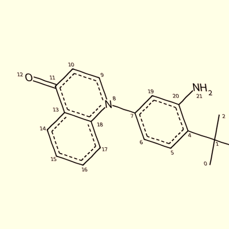 CC(C)(C)c1ccc(-n2ccc(=O)c3ccccc32)cc1N